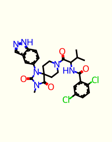 CC(C)C(NC(=O)c1cc(Cl)ccc1Cl)C(=O)N1CCC2(CC1)C(=O)N(C)C(=O)N2c1ccc2[nH]ncc2c1